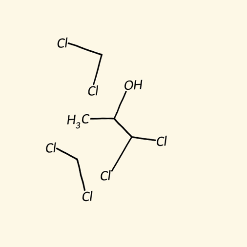 CC(O)C(Cl)Cl.ClCCl.ClCCl